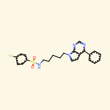 O=S(=O)(NCCCCCn1ccc2c(-c3ccccc3)ncnc21)c1ccc(F)cc1